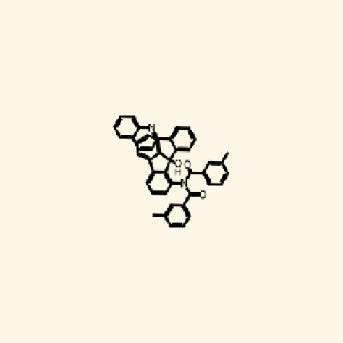 Cc1cccc(C(=O)N(C(=O)c2cccc(C)c2)c2cccc3c2C(O)(c2ccccc2-c2ccc4ccccc4n2)c2ccccc2-3)c1